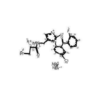 Br.Br.Cc1ncc(CNC(=O)[C@@H](N)CC(C)C)n1-c1ccc(Cl)cc1C(=O)c1ccccc1F